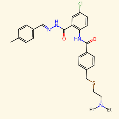 CCN(CC)CCSCc1ccc(C(=O)Nc2ccc(Cl)cc2C(=O)N/N=C/c2ccc(C)cc2)cc1